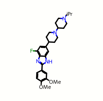 COc1ccc(-c2nc3c(F)cc(C4CCN(C5CCN(C(C)C)CC5)CC4)cc3[nH]2)cc1OC